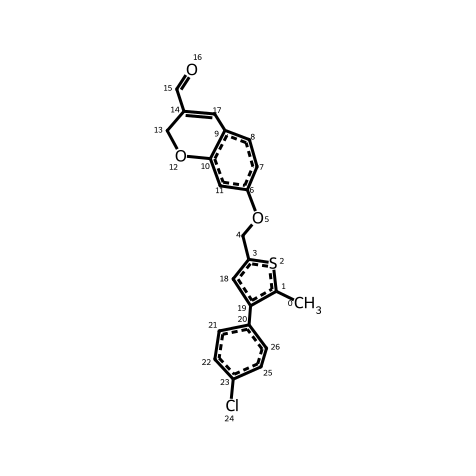 Cc1sc(COc2ccc3c(c2)OCC(C=O)=C3)cc1-c1ccc(Cl)cc1